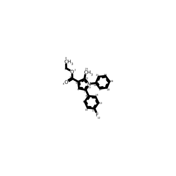 CCOC(=O)c1cc(-c2ccc(F)cc2)n(-c2ccccc2)c1C